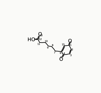 O=C1C=CC(=O)C(CCCCCC(=O)O)=C1